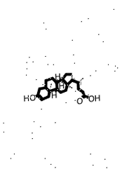 C[C@H](CCC(=O)O)[C@H]1CC[C@H]2[C@@H]3CCC4CC(O)=CC[C@]4(C)[C@H]3CC[C@]12C